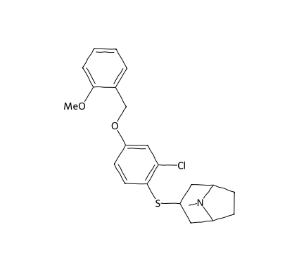 COc1ccccc1COc1ccc(SC2CC3CCC(C2)N3C)c(Cl)c1